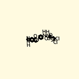 O=C(Nc1ccc(-n2ccc3cc4[nH]cnc4cc3c2=O)cc1)NS(=O)(=O)c1cc(Cl)c(Cl)s1